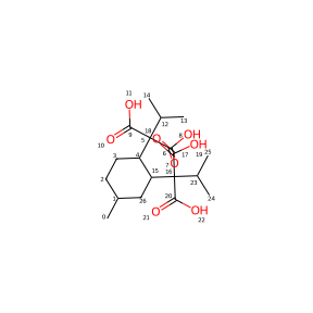 CC1CCC(C(C(=O)O)(C(=O)O)C(C)C)C(C(C(=O)O)(C(=O)O)C(C)C)C1